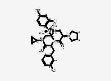 O=C1C(Cc2cccc(Cl)c2)N2C(=O)C(N3CCCC3)CNC2(S(=O)(=O)c2ccc(Cl)cc2Cl)CN1C1CC1